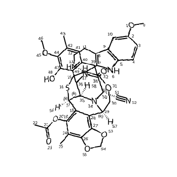 COc1ccc2[nH]c3c(c2c1)CCN[C@]31CS[C@@H]2c3c(OC(C)=O)c(C)c4c(c3[C@H](COC1=O)N1[C@@H]2C2NC(Cc3cc(C)c(OC)c(O)c32)[C@@H]1C#N)OCO4